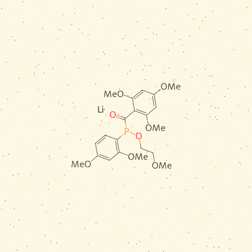 COCCOP(C(=O)c1c(OC)cc(OC)cc1OC)c1ccc(OC)cc1OC.[Li]